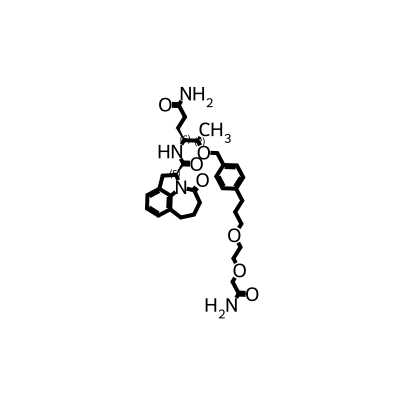 C[C@@H](OCc1ccc(CCCOCCOCC(N)=O)cc1)[C@H](CCC(N)=O)NC(=O)[C@@H]1Cc2cccc3c2N1C(=O)CCC3